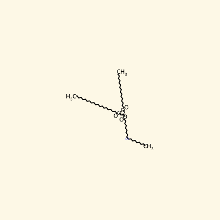 CCCCCCCC/C=C\CCCCCCCC(=O)O[C@H](COC(=O)CCCCCCCCCCCCCCCC)COC(=O)CCCCCCCCCCCCCCCCCCCC